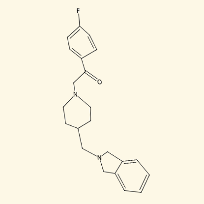 O=C(CN1CCC(CN2Cc3ccccc3C2)CC1)c1ccc(F)cc1